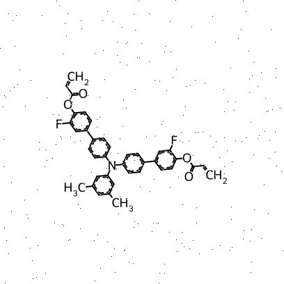 C=CC(=O)Oc1ccc(-c2ccc(N(c3ccc(-c4ccc(OC(=O)C=C)c(F)c4)cc3)c3cc(C)cc(C)c3)cc2)cc1F